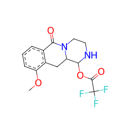 COc1cccc2c1CC1C(OC(=O)C(F)(F)F)NCCN1C2=O